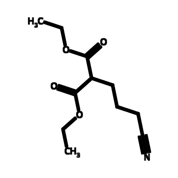 CCOC(=O)C(CCCC#N)C(=O)OCC